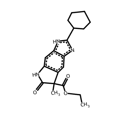 CCOC(=O)C1(C)C(=O)Nc2cc3[nH]c(C4CCCCC4)nc3cc21